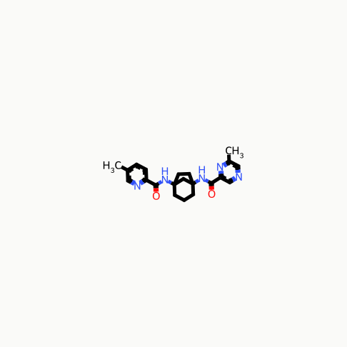 Cc1ccc(C(=O)NC23CCCC(NC(=O)c4cncc(C)n4)(CC2)C3)nc1